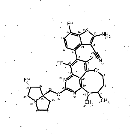 C[C@@H]1CCOc2c(Cl)c(-c3ccc(F)c4sc(N)c(C#N)c34)c(F)c3nc(OC[C@@]45CCCN4C[C@H](F)C5)nc(c23)N1C